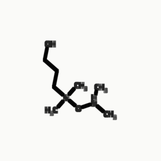 C[SiH](C)O[Si](C)(C)CCCO